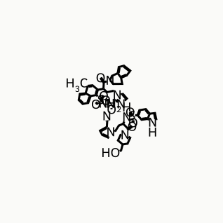 Cc1cc(C(CCn2ccnc2[N+](=O)[O-])C(=O)N2CCc3ccccc3C2)c(S(N)(=O)=O)c2ccccc12.N#Cc1cccn1CCC(NS(=O)(=O)c1ccc2cc[nH]c2c1)C(=O)N1CCC(CO)CC1